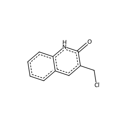 O=c1[nH]c2ccccc2cc1CCl